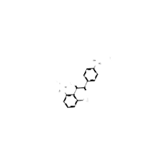 C=C(C(=O)c1c(N)cccc1S(N)(=O)=O)c1ccc(S(C)(=O)=O)cc1